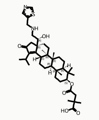 CC(C)C1=C2[C@H]3CC[C@@H]4[C@@]5(C)CC[C@H](OC(=O)CC(C)(C)C(=O)O)C(C)(C)[C@@H]5CC[C@@]4(C)[C@]3(C)CC[C@@]2([C@@H](O)CNCc2cncs2)CC1=O